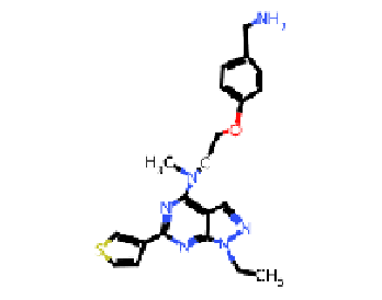 CCn1ncc2c(N(C)CCOc3ccc(CN)cc3)nc(-c3ccsc3)nc21